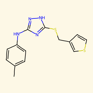 Cc1ccc(Nc2n[nH]c(SCc3ccsc3)n2)cc1